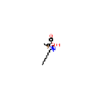 CCCCCCCCCCCc1nnc(CO)n1-c1sc(CC)cc1C(=O)c1ccc(OC)cc1